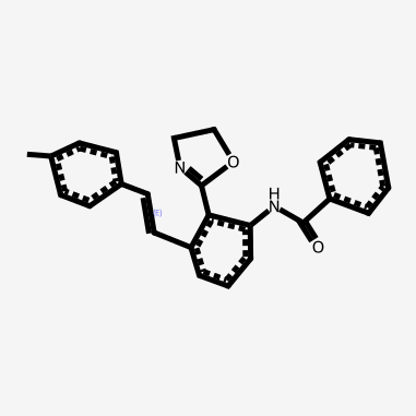 Cc1ccc(/C=C/c2cccc(NC(=O)c3ccccc3)c2C2=NCCO2)cc1